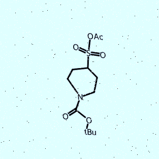 CC(=O)OS(=O)(=O)C1CCN(C(=O)OC(C)(C)C)CC1